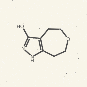 Oc1n[nH]c2c1CCOCC2